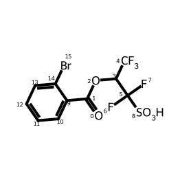 O=C(OC(C(F)(F)F)C(F)(F)S(=O)(=O)O)c1ccccc1Br